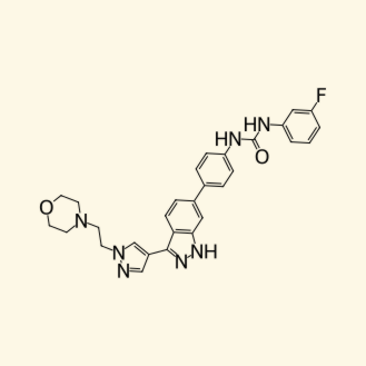 O=C(Nc1ccc(-c2ccc3c(-c4cnn(CCN5CCOCC5)c4)n[nH]c3c2)cc1)Nc1cccc(F)c1